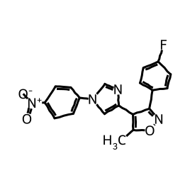 Cc1onc(-c2ccc(F)cc2)c1-c1cn(-c2ccc([N+](=O)[O-])cc2)cn1